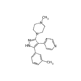 Cc1cccc(-c2[nH]nc(N3CCN(C)CC3)c2-c2ccncc2)c1